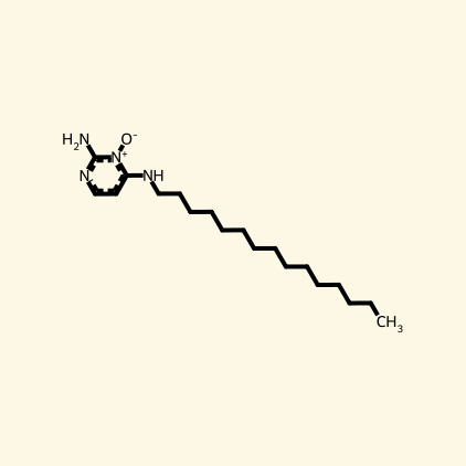 CCCCCCCCCCCCCCCNc1ccnc(N)[n+]1[O-]